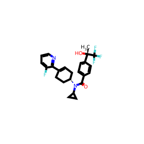 C[C@](O)(c1ccc(C(=O)N(C2CC2)[C@H]2CC=C(c3ncccc3F)CC2)cc1)C(F)(F)F